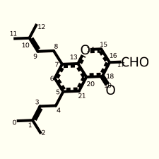 CC(C)=CCc1cc(CC=C(C)C)c2occ(C=O)c(=O)c2c1